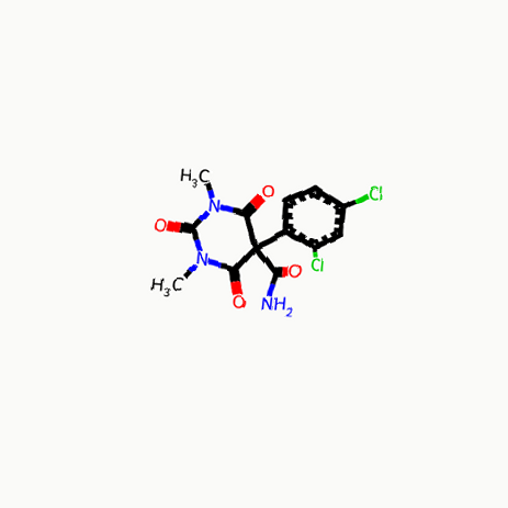 CN1C(=O)N(C)C(=O)C(C(N)=O)(c2ccc(Cl)cc2Cl)C1=O